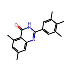 Cc1cc(C)c2c(=O)[nH]c(-c3cc(C)c(C)c(C)c3)nc2c1